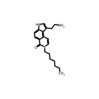 CCCCCCCn1ccc2c(ccc3[nH]cc(CCN)c32)c1=O